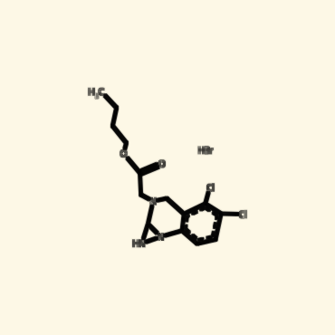 Br.CCCCOC(=O)CN1Cc2c(ccc(Cl)c2Cl)N2NC12